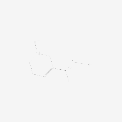 CC(=NO)C1=CCCN(C(C)C)C1